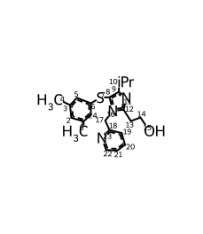 Cc1cc(C)cc(Sc2c(C(C)C)nc(CCO)n2Cc2ccccn2)c1